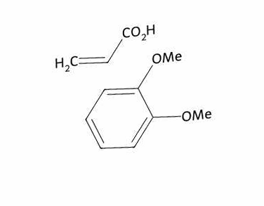 C=CC(=O)O.COc1ccccc1OC